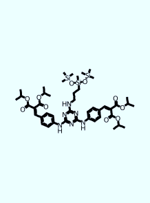 CC(C)OC(=O)C(=Cc1ccc(Nc2nc(NCCC[Si](C)(O[Si](C)(C)C)O[Si](C)(C)C)nc(Nc3ccc(C=C(C(=O)OC(C)C)C(=O)OC(C)C)cc3)n2)cc1)C(=O)OC(C)C